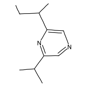 CCC(C)c1cncc(C(C)C)n1